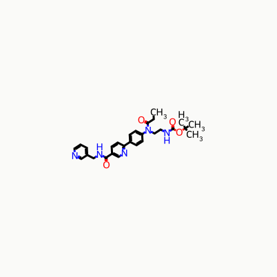 CCC(=O)N(CCNC(=O)OC(C)(C)C)c1ccc(-c2ccc(C(=O)NCc3cccnc3)cn2)cc1